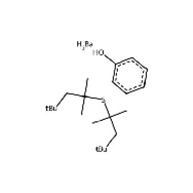 CC(C)(C)CC(C)(C)SC(C)(C)CC(C)(C)C.Oc1ccccc1.[BaH2]